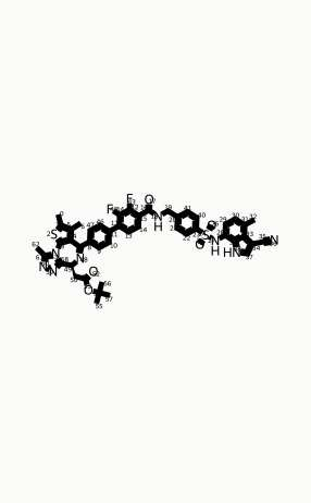 Cc1sc2c(c1C)C(c1ccc(-c3ccc(C(=O)NCc4ccc(S(=O)(=O)Nc5ccc(C)c6c(C#N)c[nH]c56)cc4)c(F)c3F)cc1)=N[C@@H](CC(=O)OC(C)(C)C)c1nnc(C)n1-2